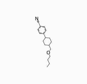 CCCCOCC1CCC(c2ccc(C#N)cc2)CC1